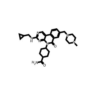 CN1CCN(Cc2ccc3c(c2)c(=O)n(C2CCC(C(N)=O)CC2)c2nc(NCC4CC4)ncc32)CC1